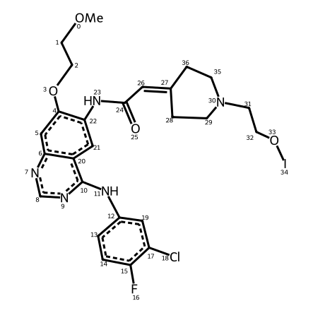 COCCOc1cc2ncnc(Nc3ccc(F)c(Cl)c3)c2cc1NC(=O)C=C1CCN(CCOI)CC1